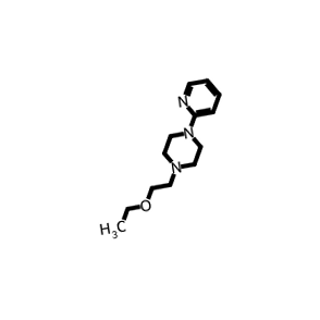 CCOCCN1CCN(c2ccccn2)CC1